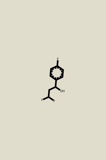 OC(CC(F)F)c1ccc(F)cc1